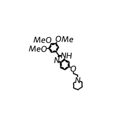 COc1cc(-c2nc3ccc(OCCN4CCCCC4)cc3[nH]2)cc(OC)c1OC